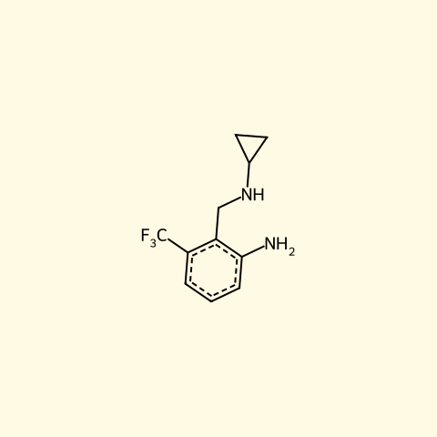 Nc1cccc(C(F)(F)F)c1CNC1CC1